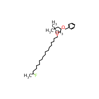 CC(F)CCCCCCCCCCCCCCCCOCC(CC(C)(C)C)OCc1ccccc1